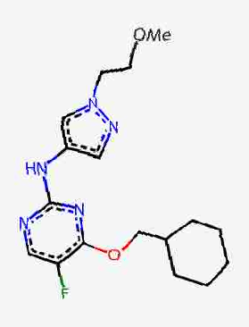 COCCn1cc(Nc2ncc(F)c(OCC3CCCCC3)n2)cn1